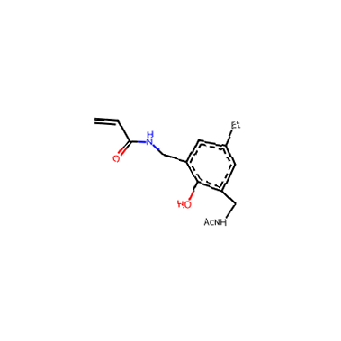 C=CC(=O)NCc1cc(CC)cc(CNC(C)=O)c1O